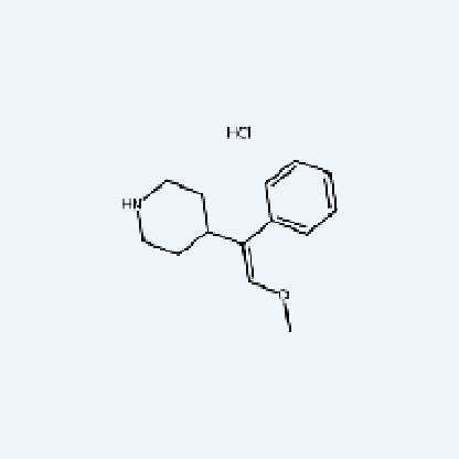 CO/C=C(\c1ccccc1)C1CCNCC1.Cl